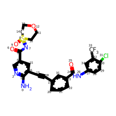 Nc1ncc(C(=O)N=S2(=O)CCOCC2)cc1C#Cc1cccc(C(=O)Nc2ccc(Cl)c(C(F)(F)F)c2)c1